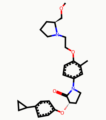 COC[C@@H]1CCCN1CCOc1ccc(N2CC[C@H](Oc3ccc(C4CC4)cc3)C2=O)cc1C